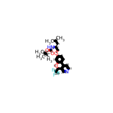 CC(C)C[C@@H](COc1ccc2c(c1)OC(C(F)(F)F)c1cnccc1-2)NC(=O)OC(C)(C)C